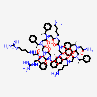 C[C@@H](c1ccccc1)N(CC(N)=O)C(=O)CN(C(=O)CN(CCCCN)C(=O)CN(C(=O)CN(C(=O)CN(CCCCN)C(=O)CN(C(=O)CN(C(=O)CN(CCCCNC(=N)N)C(=O)CN(C(=O)CN(C(=O)CNCCCCNC(=N)N)[C@@H](C)c1ccccc1)[C@@H](C)c1ccccc1)[C@@H](C)c1ccccc1)[C@@H](C)c1ccccc1)[C@@H](C)c1ccccc1)[C@@H](C)c1ccccc1)[C@@H](C)c1ccccc1